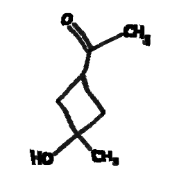 CC(=O)C1CC(C)(O)C1